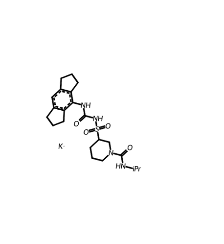 CC(C)NC(=O)N1CCCC(S(=O)(=O)NC(=O)Nc2c3c(cc4c2CCC4)CCC3)C1.[K]